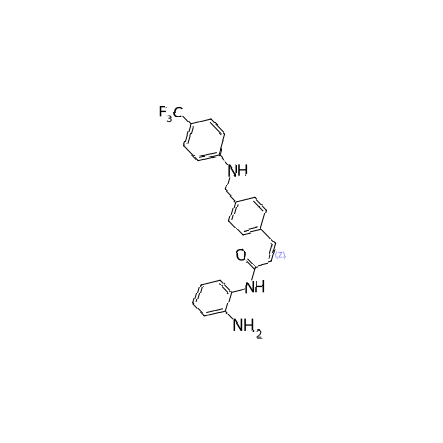 Nc1ccccc1NC(=O)/C=C\c1ccc(CNc2ccc(C(F)(F)F)cc2)cc1